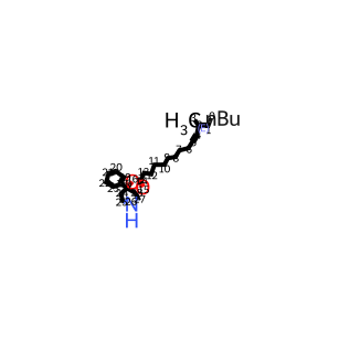 CCCC/C=C(\C)C#CCCCCCCCCC(=O)OC1(c2ccccc2)CCNCC1